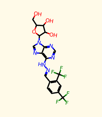 OCC1OC(n2cnc3c(N/N=C/c4ccc(C(F)(F)F)cc4C(F)(F)F)ncnc32)C(O)C1O